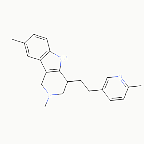 Cc1ccc2[nH]c3c(c2c1)CN(C)CC3CCc1ccc(C)nc1